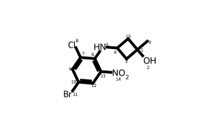 CC1(O)CC(Nc2c(Cl)cc(Br)cc2[N+](=O)[O-])C1